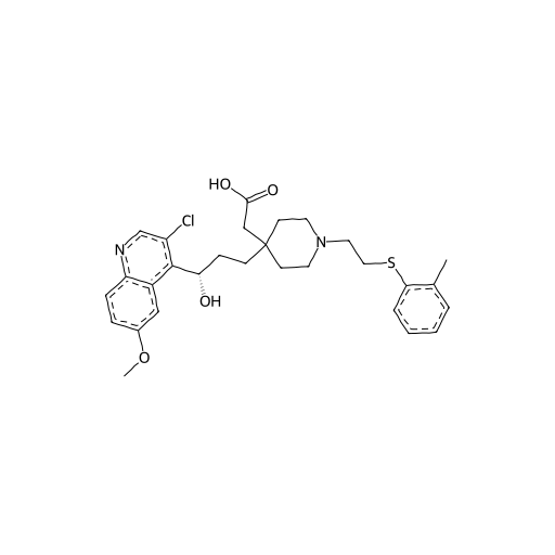 COc1ccc2ncc(Cl)c([C@@H](O)CCC3(CC(=O)O)CCN(CCSc4ccccc4C)CC3)c2c1